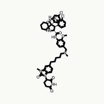 COc1cc(CN(C)CCCCCc2ccc3c(c2)n(C)c(=O)n3C2CCC(=O)NC2=O)ccc1NC(=O)[C@@H]1NC2(CCCCC2)[C@@]2(C(=O)Nc3cc(Cl)ccc32)[C@H]1c1cccc(Cl)c1F